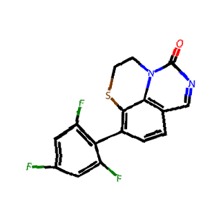 O=c1ncc2ccc(-c3c(F)cc(F)cc3F)c3c2n1CCS3